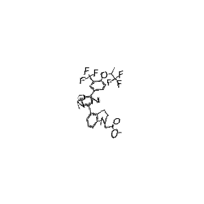 COC(=O)CN1CCc2c(-c3noc(-c4ccc(OC(C)C(F)(F)F)c(C(F)(F)F)c4)n3)cccc21